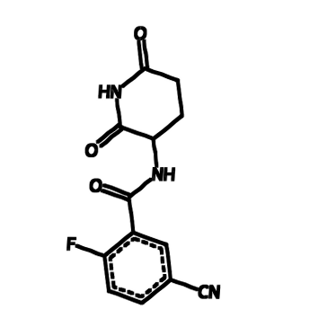 N#Cc1ccc(F)c(C(=O)NC2CCC(=O)NC2=O)c1